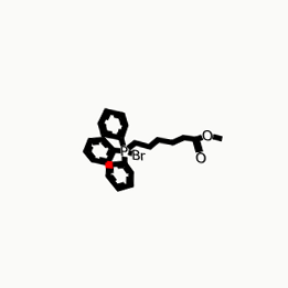 COC(=O)CCCCCP(Br)(c1ccccc1)(c1ccccc1)c1ccccc1